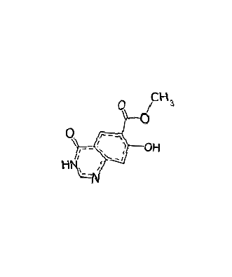 COC(=O)c1cc2c(=O)[nH]cnc2cc1O